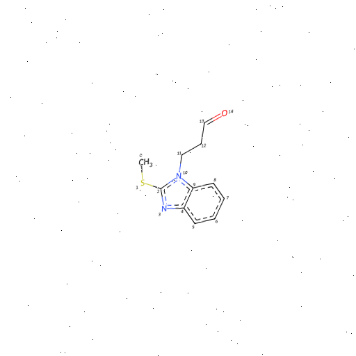 CSc1nc2ccccc2n1CCC=O